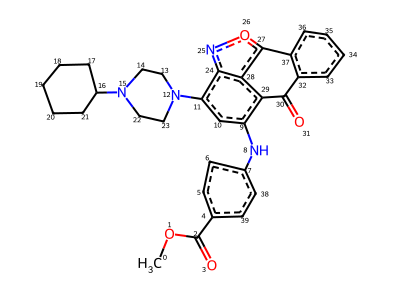 COC(=O)c1ccc(Nc2cc(N3CCN(C4CCCCC4)CC3)c3noc4c3c2C(=O)c2ccccc2-4)cc1